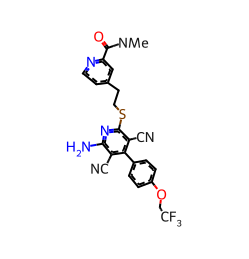 CNC(=O)c1cc(CCSc2nc(N)c(C#N)c(-c3ccc(OCC(F)(F)F)cc3)c2C#N)ccn1